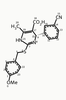 COc1ccc(CSC2=N[C@@H](c3cccc(C#N)c3)C(C(=O)O)=C(C)N2)cc1